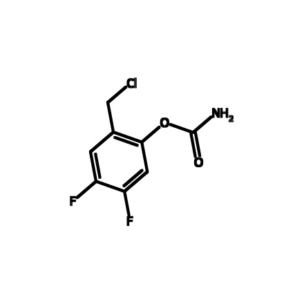 NC(=O)Oc1cc(F)c(F)cc1CCl